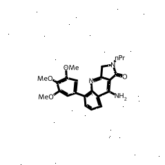 CCCN1Cc2nc3c(-c4cc(OC)c(OC)c(OC)c4)cccc3c(N)c2C1=O